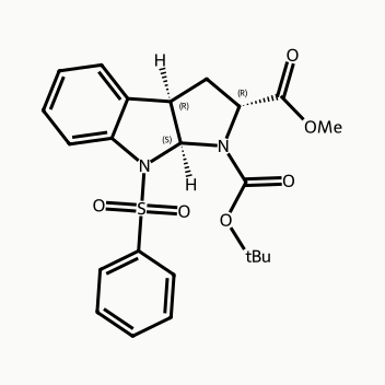 COC(=O)[C@H]1C[C@@H]2c3ccccc3N(S(=O)(=O)c3ccccc3)[C@@H]2N1C(=O)OC(C)(C)C